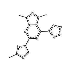 Cc1ncc(-c2nc(-n3cncn3)c3c(C)nc(C)n3n2)s1